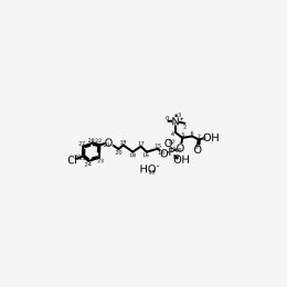 C[N+](C)(C)CC(CC(=O)O)OP(=O)(O)OCCCCCCOc1ccc(Cl)cc1.[OH-]